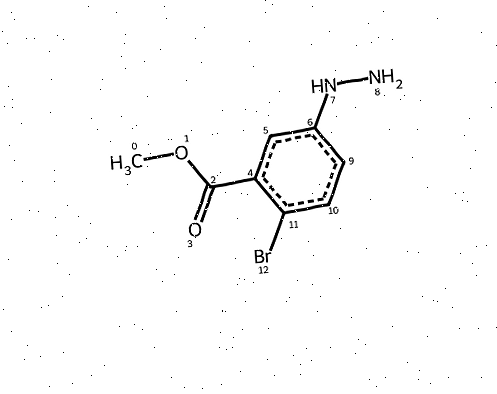 COC(=O)c1cc(NN)ccc1Br